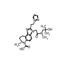 C[C@H]1CCc2c(ccc3c2nc(CCn2cccn2)n3CC(=O)N(C)CC(C)(C)O)N1C(=O)O